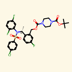 C[C@H](c1ccc(F)cc1COC(=O)N1CCN(C(=O)OC(C)(C)C)CC1)N(c1cc(F)ccc1F)S(=O)(=O)c1ccc(Cl)cc1